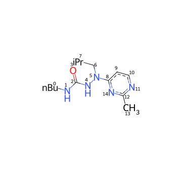 CCCCNC(=O)NN(CC(C)C)c1ccnc(C)n1